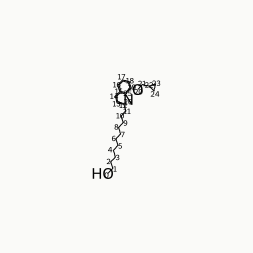 OCCCCCCCCCCCc1ccc2cccc(OCC3CC3)c2n1